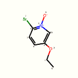 CCOc1ccc(Br)[n+]([O-])c1